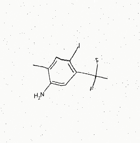 Cc1cc(I)c(C(C)(F)F)cc1N